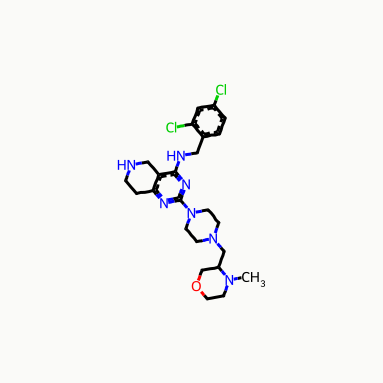 CN1CCOCC1CN1CCN(c2nc3c(c(NCc4ccc(Cl)cc4Cl)n2)CNCC3)CC1